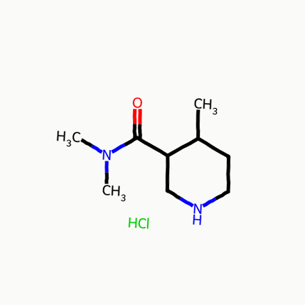 CC1CCNCC1C(=O)N(C)C.Cl